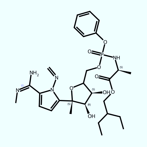 C=Nn1c(/C(N)=N\C)ccc1[C@]1(C)OC(COP(=O)(N[C@@H](C)C(=O)OCC(CC)CC)Oc2ccccc2)[C@@H](O)[C@H]1O